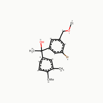 CCOCc1cc(Br)cc(C(C)(O)c2ccc(OC)c(C)c2)c1